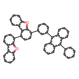 c1ccc(-c2c3ccccc3c(-c3cccc(-c4ccc(-c5cccc6c5oc5ccccc56)c5c4oc4ccccc45)c3)c3ccccc23)cc1